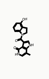 Cc1c[nH]c(=O)c2c(C(=O)N3CCc4c(O)cccc43)c[nH]c12